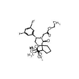 CCOC(=O)CN1C(=O)C2(CCCC2C(C)(C)C)N(C(=O)O)C[C@H]1c1cc(F)cc(F)c1